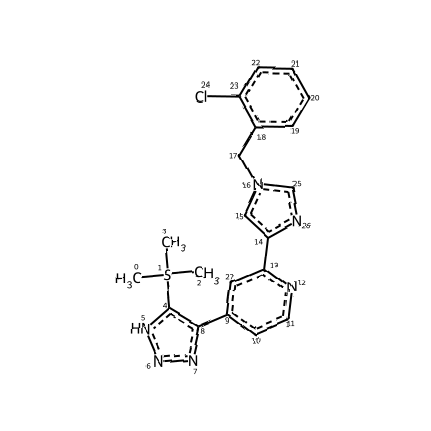 CS(C)(C)c1[nH]nnc1-c1ccnc(-c2cn(Cc3ccccc3Cl)cn2)c1